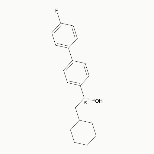 O[C@H](CC1CCCCC1)c1ccc(-c2ccc(F)cc2)cc1